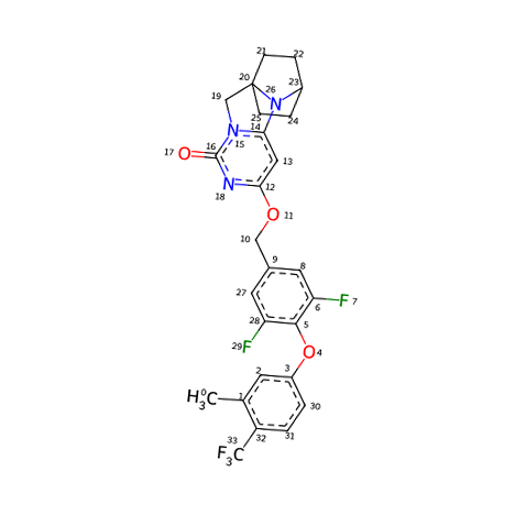 Cc1cc(Oc2c(F)cc(COc3cc4n(c(=O)n3)CC35CCC(CC3)N45)cc2F)ccc1C(F)(F)F